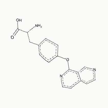 NC(Cc1ccc(Oc2nccc3ccncc23)cc1)C(=O)O